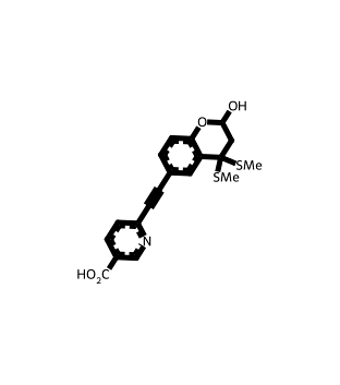 CSC1(SC)CC(O)Oc2ccc(C#Cc3ccc(C(=O)O)cn3)cc21